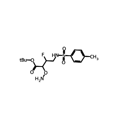 Cc1ccc(S(=O)(=O)NCC(F)C(ON)C(=O)OC(C)(C)C)cc1